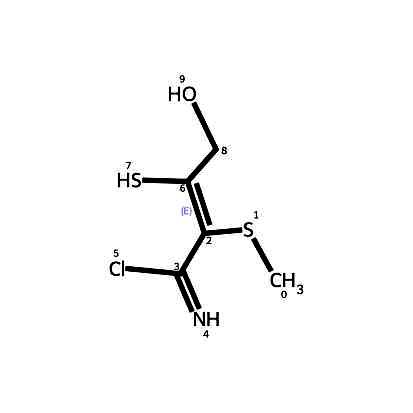 CS/C(C(=N)Cl)=C(/S)CO